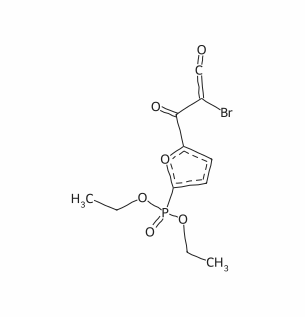 CCOP(=O)(OCC)c1ccc(C(=O)C(Br)=C=O)o1